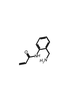 C=CC(=O)Nc1ccccc1CN